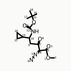 COC(=O)C(=[N+]=[N-])C(=O)CC(NC(=O)OC(C)(C)C)C1CC1